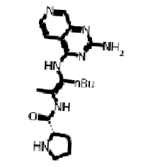 CCCC/C(Nc1nc(N)nc2cnccc12)=C(/C)NC(=O)[C@@H]1CCCN1